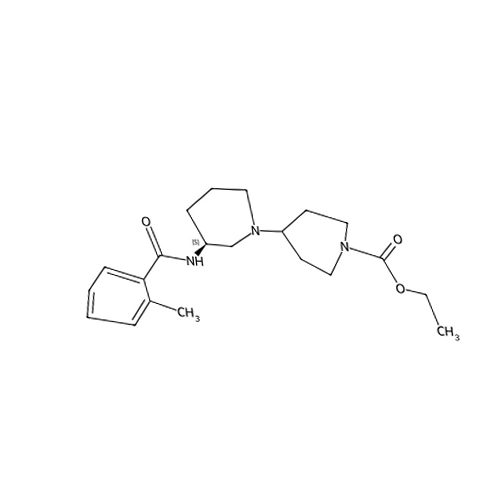 CCOC(=O)N1CCC(N2CCC[C@H](NC(=O)c3ccccc3C)C2)CC1